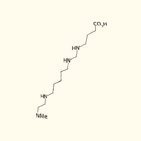 CNCCNCCCCCNCNCCCC(=O)O